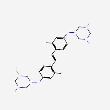 O=S(=O)(O)c1cc(NN2CN(Cl)CN(Cl)C2)ccc1/C=C/c1ccc(NN2CN(Cl)CN(Cl)C2)cc1S(=O)(=O)O